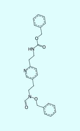 O=CN(CCc1ccc(CCNC(=O)OCc2ccccc2)nc1)OCc1ccccc1